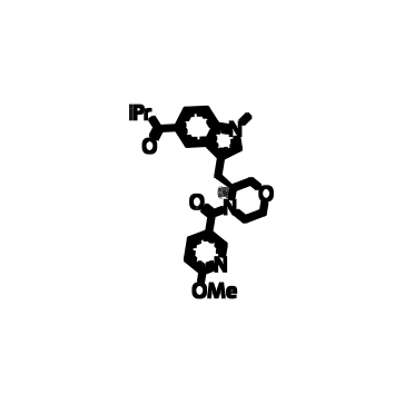 COc1ccc(C(=O)N2CCOC[C@@H]2Cc2cn(C)c3ccc(C(=O)C(C)C)cc23)cn1